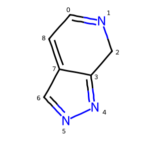 C1=NCC2=NN=CC2=C1